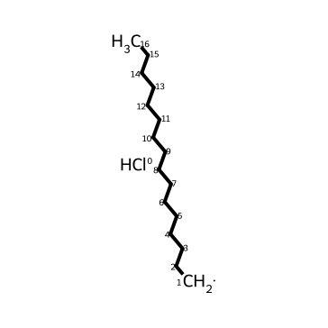 Cl.[CH2]CCCCCCCCCCCCCCC